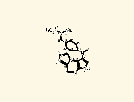 CN(c1c[nH]c2ncc3nncn3c12)[C@H]1CC[C@H](CN(C(=O)O)C(C)(C)C)CC1